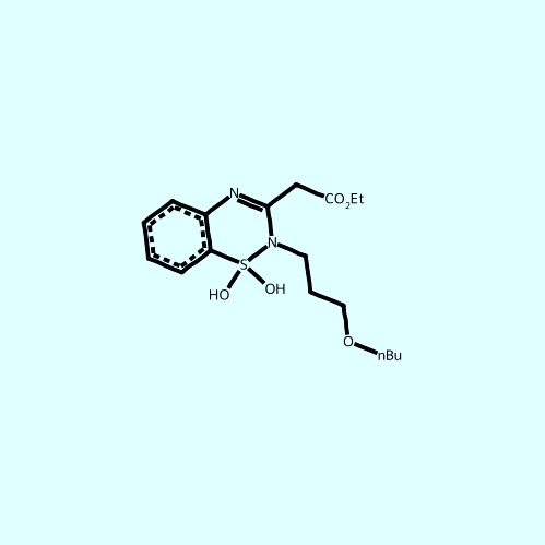 CCCCOCCCN1C(CC(=O)OCC)=Nc2ccccc2S1(O)O